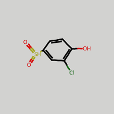 O=[SH](=O)c1ccc(O)c(Cl)c1